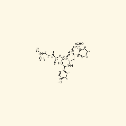 C=C(CC(NC(O)c1ccc(Cl)cc1)C(=O)OCC(=O)NCCN(C)CC)c1ccccc1NC=O